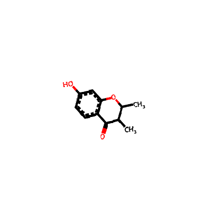 CC1Oc2cc(O)ccc2C(=O)C1C